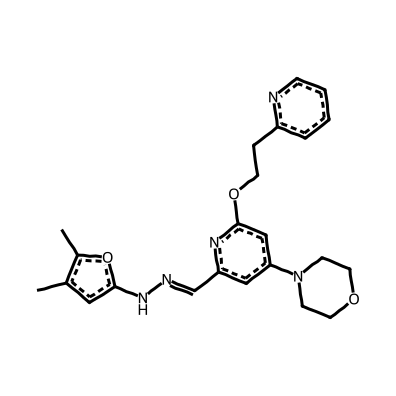 Cc1cc(NN=Cc2cc(N3CCOCC3)cc(OCCc3ccccn3)n2)oc1C